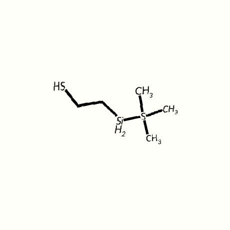 CS(C)(C)[SiH2]CCS